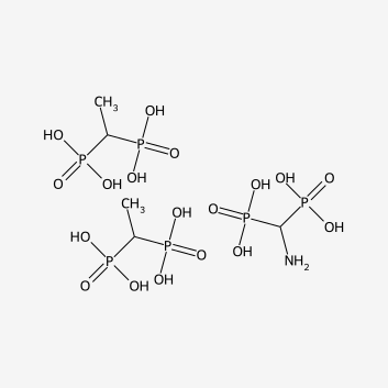 CC(P(=O)(O)O)P(=O)(O)O.CC(P(=O)(O)O)P(=O)(O)O.NC(P(=O)(O)O)P(=O)(O)O